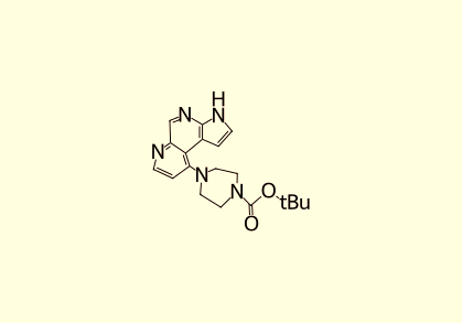 CC(C)(C)OC(=O)N1CCN(c2ccnc3cnc4[nH]ccc4c23)CC1